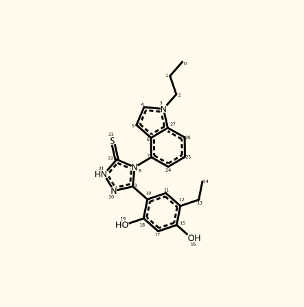 CCCn1ccc2c(-n3c(-c4cc(CC)c(O)cc4O)n[nH]c3=S)cccc21